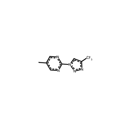 Cc1cnc(-n2cc(C(F)(F)F)nn2)nc1